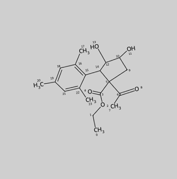 CCOC(=O)C1(C(C)=O)CC(O)C(O)C1c1c(C)cc(C)cc1C